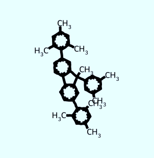 Cc1cc(C)cc(C2(C)c3cc(-c4c(C)cc(C)cc4C)ccc3-c3ccc(-c4c(C)cc(C)cc4C)cc32)c1